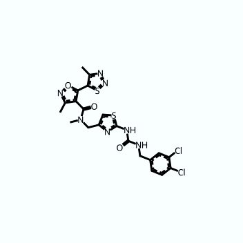 Cc1nnsc1-c1onc(C)c1C(=O)N(C)Cc1csc(NC(=O)NCc2ccc(Cl)c(Cl)c2)n1